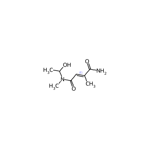 C/C(=C\C(=O)N(C)C(C)O)C(N)=O